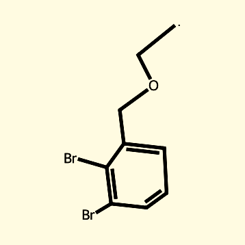 [CH2]COCc1cccc(Br)c1Br